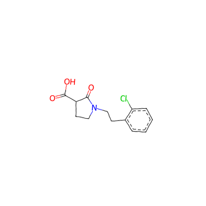 O=C(O)C1CCN(CCc2ccccc2Cl)C1=O